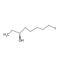 CC[C@H](O)CCCCCI